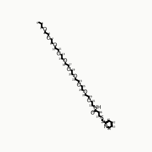 CCCOCCOCCOCCOCCOCCOCCOCCOCCOCCOCCNC(=O)CCSSc1ccccn1